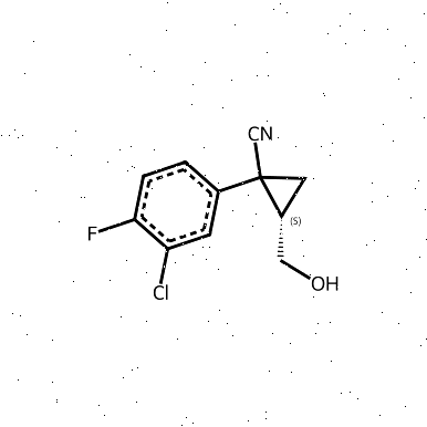 N#CC1(c2ccc(F)c(Cl)c2)C[C@@H]1CO